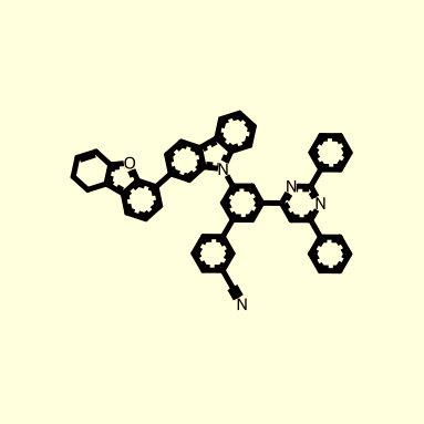 N#Cc1cccc(-c2cc(-c3cc(-c4ccccc4)nc(-c4ccccc4)n3)cc(-n3c4ccccc4c4ccc(-c5cccc6c7c(oc56)C=CCC7)cc43)c2)c1